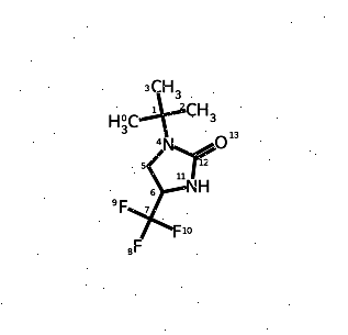 CC(C)(C)N1CC(C(F)(F)F)NC1=O